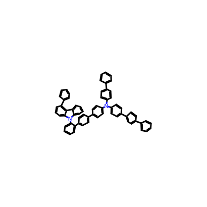 c1ccc(-c2ccc(-c3ccc(N(c4ccc(-c5ccccc5)cc4)c4ccc(-c5ccc(-c6ccccc6-n6c7ccccc7c7c(-c8ccccc8)cccc76)cc5)cc4)cc3)cc2)cc1